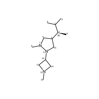 CC(C)[C@@H](C)C1CN(C)N(C2CN(C)C2)C1